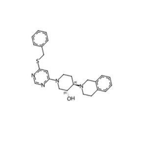 O[C@@H]1CN(c2cc(SCc3ccccc3)ncn2)CC[C@H]1N1CCc2ccccc2C1